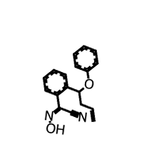 C=CCC(Oc1ccccc1)c1ccccc1C(C#N)=NO